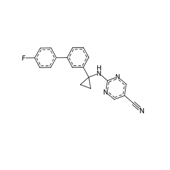 N#Cc1cnc(NC2(c3cccc(-c4ccc(F)cc4)c3)CC2)nc1